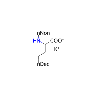 CCCCCCCCCCCCC(NCCCCCCCCC)C(=O)[O-].[K+]